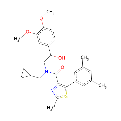 COc1ccc(C(O)CN(CC2CC2)C(=O)c2nc(C)sc2-c2cc(C)cc(C)c2)cc1OC